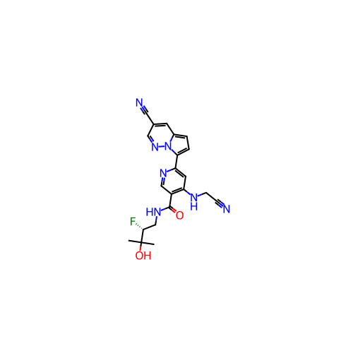 CC(C)(O)[C@H](F)CNC(=O)c1cnc(-c2ccc3cc(C#N)cnn23)cc1NCC#N